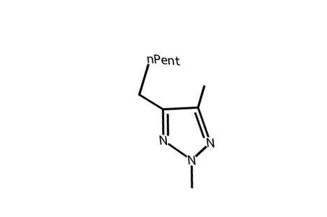 CCCCCCc1nn(C)nc1C